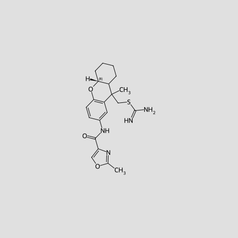 Cc1nc(C(=O)Nc2ccc3c(c2)C(C)(CSC(=N)N)C2CCCC[C@H]2O3)co1